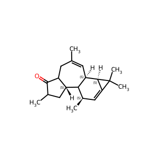 CC1=C[C@@H]2C([C@@H]3CC(C)C(=O)C3C1)[C@H](C)C=C1[C@@H]2C1(C)C